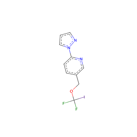 FC(F)(I)OCc1ccc(-n2cccn2)nc1